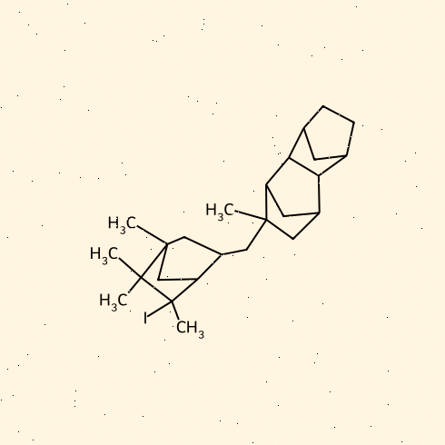 CC1(CC2CC3(C)CC2C(C)(I)C3(C)C)CC2CC1C1C3CCC(C3)C21